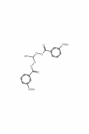 [CH2]CC[C](OOC(=O)c1cccc(OC)c1)OOC(=O)c1cccc(OC)c1